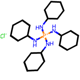 C1CCC(N[P+](NC2CCCCC2)(NC2CCCCC2)NC2CCCCC2)CC1.[Cl-]